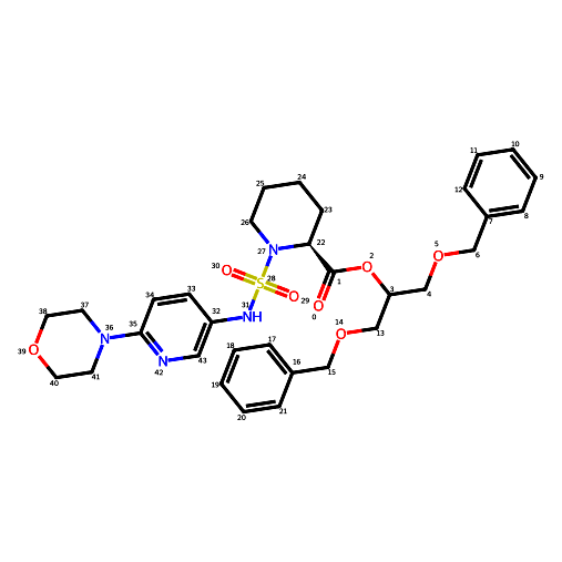 O=C(OC(COCc1ccccc1)COCc1ccccc1)[C@@H]1CCCCN1S(=O)(=O)Nc1ccc(N2CCOCC2)nc1